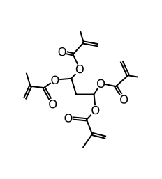 C=C(C)C(=O)OC(CC(OC(=O)C(=C)C)OC(=O)C(=C)C)OC(=O)C(=C)C